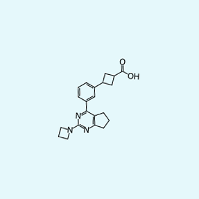 O=C(O)C1CC(c2cccc(-c3nc(N4CCC4)nc4c3CCC4)c2)C1